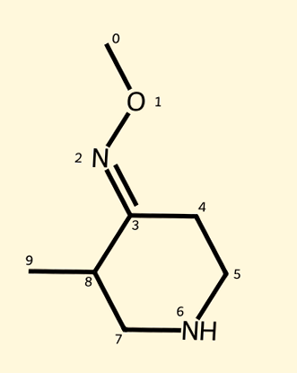 CON=C1CCNCC1C